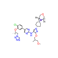 COCC(C)COc1nn([C@H]2CC[C@H](N3[C@@H]4CC[C@H]3COC4)CC2)cc1Nc1ncc(-c2ccc(Cl)c(O[C@@H](C)Cn3cnnn3)c2)cn1